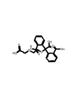 O=C(O)COCCOC(C(=O)O)(c1ccccc1C(=O)O)c1ccccc1C(=O)O